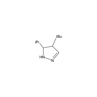 CC(C)C1NN=CC1C(C)(C)C